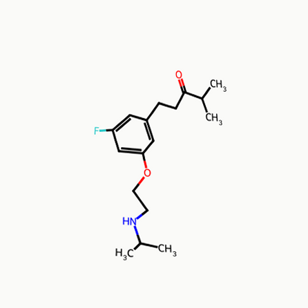 CC(C)NCCOc1cc(F)cc(CCC(=O)C(C)C)c1